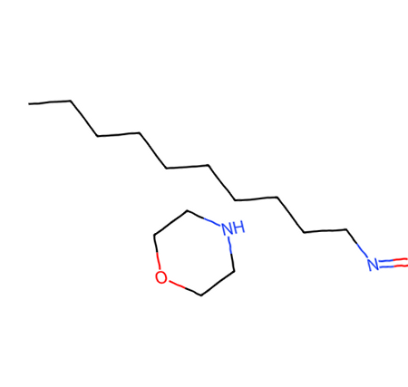 C1COCCN1.CCCCCCCCCCN=O